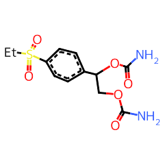 CCS(=O)(=O)c1ccc(C(COC(N)=O)OC(N)=O)cc1